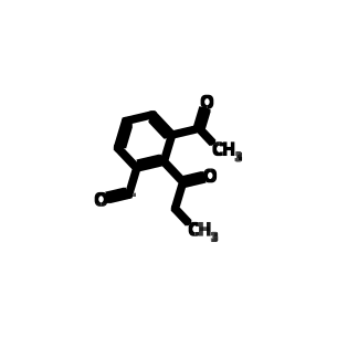 CCC(=O)c1c([C]=O)cccc1C(C)=O